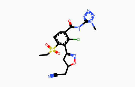 CCS(=O)(=O)c1ccc(C(=O)Nc2nnnn2C)c(Cl)c1C1=NOC(CC#N)C1